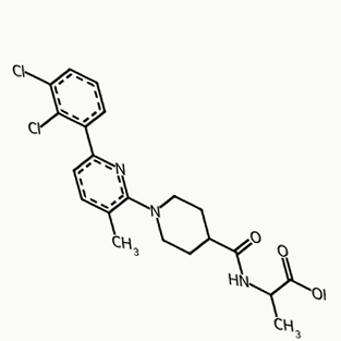 Cc1ccc(-c2cccc(Cl)c2Cl)nc1N1CCC(C(=O)NC(C)C(=O)O)CC1